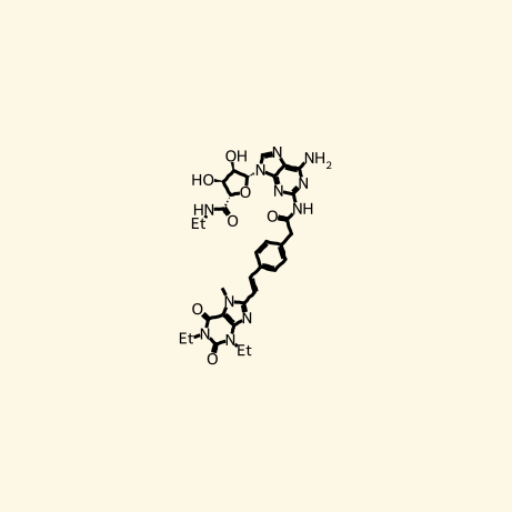 CCNC(=O)[C@H]1O[C@@H](n2cnc3c(N)nc(NC(=O)Cc4ccc(/C=C/c5nc6c(c(=O)n(CC)c(=O)n6CC)n5C)cc4)nc32)[C@H](O)[C@@H]1O